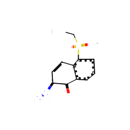 CCS(=O)(=O)c1cccc2c1C=CC(=[N+]=[N-])C2=O